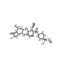 Cc1cc2c(F)c(Oc3ncnc(Nc4ccc(N(C)C=O)cc4)c3C#N)cc(F)c2[nH]1